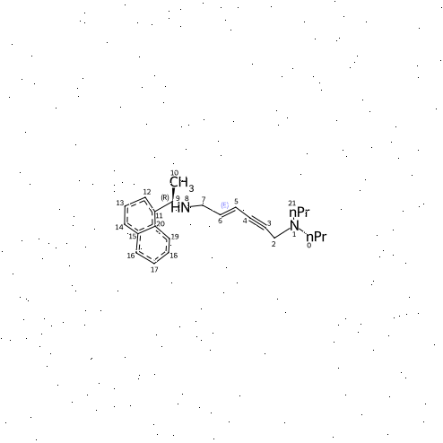 CCCN(CC#C/C=C/CN[C@H](C)c1cccc2ccccc12)CCC